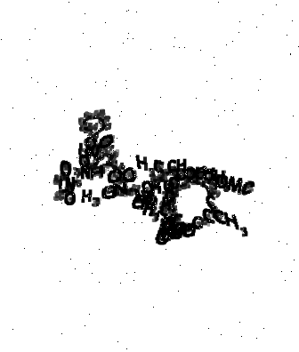 COC1=C(C)C2CC(=C1)CC(C)CCCC(OC)C1(O)C[C@H](OC(=O)N1)[C@@H](C)[C@@H]1O[C@@]1(C)[C@@H](OC(=O)[C@H](C)C(C)C(=O)CCOC(=O)N(C)CCN(C)C(=O)OCc1ccc(NC(=O)OC3/C=C/CCCCC3)c(C(=O)NCCN3C(=O)C=CC3=O)c1)CC(O)C2C